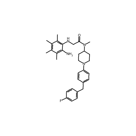 Cc1c(C)c(C)c(NCC(=O)N(C)C2CCN(c3ccc(Cc4ccc(F)cc4)cc3)CC2)c(N)c1C